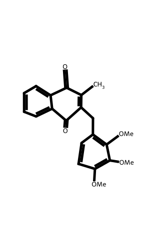 COc1ccc(CC2=C(C)C(=O)c3ccccc3C2=O)c(OC)c1OC